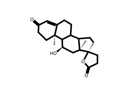 C[C@]12CCC(=O)C=C1CCC1C2[C@H](O)C[C@@]2(C)C1CC[C@@]21CCC(=O)O1